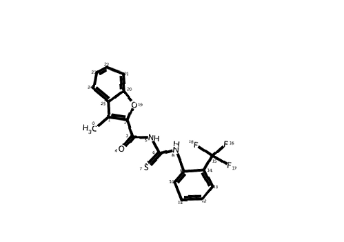 Cc1c(C(=O)NC(=S)Nc2ccccc2C(F)(F)F)oc2ccccc12